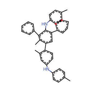 Cc1ccc(Nc2ccc(-c3cc(-c4ccccc4)c(Nc4ccc(C)cc4)c(-c4ccccc4)c3C)c(C)c2)cc1